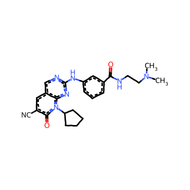 CN(C)CCNC(=O)c1cccc(Nc2ncc3cc(C#N)c(=O)n(C4CCCC4)c3n2)c1